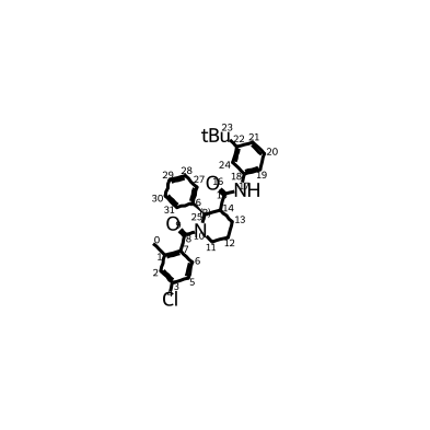 Cc1cc(Cl)ccc1C(=O)N1CCCC(C(=O)Nc2cccc(C(C)(C)C)c2)[C@@H]1c1ccccc1